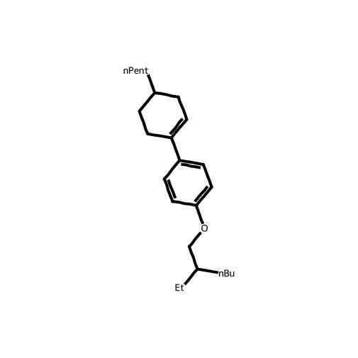 CCCCCC1CC=C(c2ccc(OCC(CC)CCCC)cc2)CC1